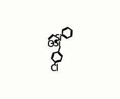 Clc1ccc(C[si]2occ[si]2-c2ccccc2)cc1